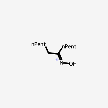 CCCCCC/C(CCCCC)=N/O